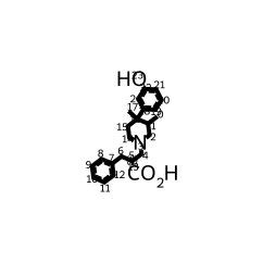 CC1CN(C[C@H](Cc2ccccc2)C(=O)O)CCC1(C)c1cccc(O)c1